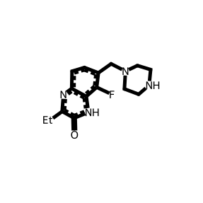 CCc1nc2ccc(CN3CCNCC3)c(F)c2[nH]c1=O